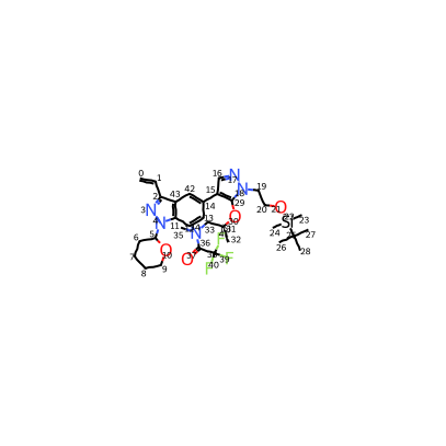 C=Cc1nn(C2CCCCO2)c2ccc(-c3cnn(CCO[Si](C)(C)C(C)(C)C)c3O[C@@H](C)CN(C)C(=O)C(F)(F)F)cc12